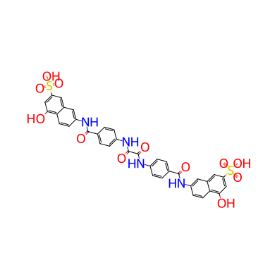 O=C(Nc1ccc(C(=O)Nc2ccc3c(O)cc(S(=O)(=O)O)cc3c2)cc1)C(=O)Nc1ccc(C(=O)Nc2ccc3c(O)cc(S(=O)(=O)O)cc3c2)cc1